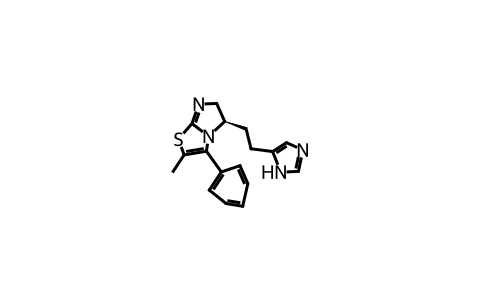 CC1=C(c2ccccc2)N2C(=NC[C@H]2CCc2cnc[nH]2)S1